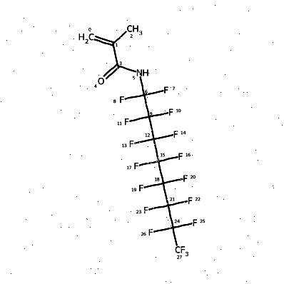 C=C(C)C(=O)NC(F)(F)C(F)(F)C(F)(F)C(F)(F)C(F)(F)C(F)(F)C(F)(F)C(F)(F)F